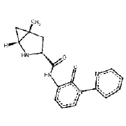 C[C@@]12C[C@@H](C(=O)Nc3cccn(-c4ccccn4)c3=O)N[C@@H]1C2